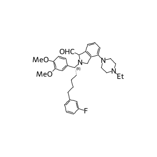 CCN1CCN(c2cccc3c2CN([C@H](CCCCc2cccc(F)c2)c2ccc(OC)c(OC)c2)C3C=O)CC1